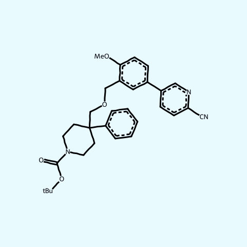 COc1ccc(-c2ccc(C#N)nc2)cc1COCC1(c2ccccc2)CCN(C(=O)OC(C)(C)C)CC1